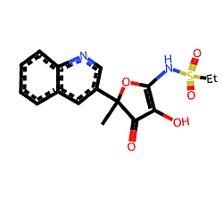 CCS(=O)(=O)NC1=C(O)C(=O)C(C)(c2cnc3ccccc3c2)O1